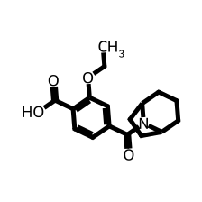 CCOc1cc(C(=O)N2C3CCCC2CC3)ccc1C(=O)O